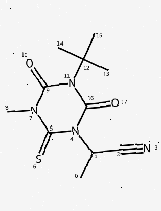 CC(C#N)n1c(=S)n(C)c(=O)n(C(C)(C)C)c1=O